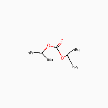 CCCC(OC(=O)OC(CCC)C(C)CC)C(C)CC